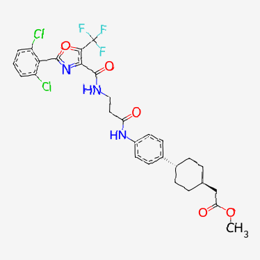 COC(=O)C[C@H]1CC[C@H](c2ccc(NC(=O)CCNC(=O)c3nc(-c4c(Cl)cccc4Cl)oc3C(F)(F)F)cc2)CC1